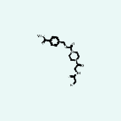 COC(=O)c1ccc(COC(=O)N2CCN(C(=O)CNC(=O)CBr)CC2)cc1